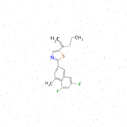 C=C(CCC)c1cnc(-c2cc(C)c3c(F)cc(F)cc3c2)s1